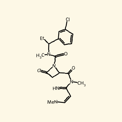 CCC(c1cccc(Cl)c1)N(C)C(=O)N1C(=O)CC1C(=O)N(C)C(=N)/C=C\NC